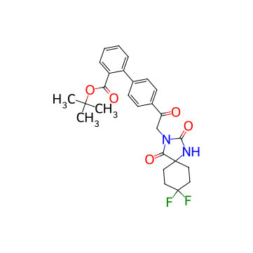 CC(C)(C)OC(=O)c1ccccc1-c1ccc(C(=O)CN2C(=O)NC3(CCC(F)(F)CC3)C2=O)cc1